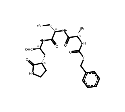 CC(C)[C@H](NC(=O)OCc1ccccc1)C(=O)N[C@@H](CC(C)(C)C)C(=O)N[C@H](C=O)C[C@@H]1CCNC1=O